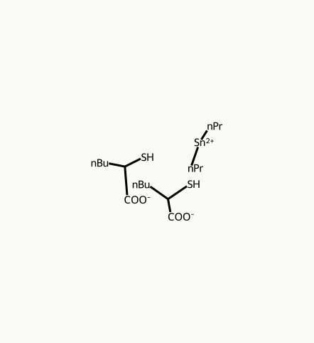 CCCCC(S)C(=O)[O-].CCCCC(S)C(=O)[O-].CC[CH2][Sn+2][CH2]CC